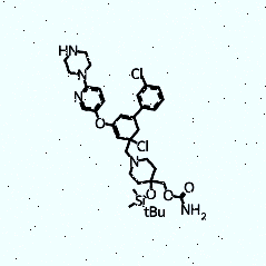 CC(C)(C)[Si](C)(C)OC1(COC(N)=O)CCN(CC2(Cl)C=C(Oc3ccc(N4CCNCC4)nc3)C=C(c3cccc(Cl)c3)C2)CC1